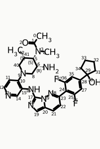 CC(=O)N(C)[C@@H]1[C@H](N)CN(c2ccncc2Nc2ncc3ccc(-c4c(F)cc(C5(O)CCCC5)cc4F)nn23)C[C@@H]1C